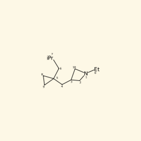 CCN1CC(CC2(CC(C)C)CC2)C1